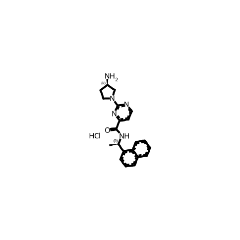 C[C@@H](NC(=O)c1ccnc(N2CC[C@@H](N)C2)n1)c1cccc2ccccc12.Cl